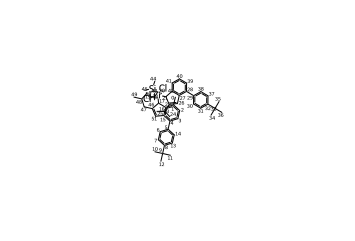 Cc1ccc(-c2ccc(C(C)(C)C)cc2)c2c1[CH]([Zr]([Cl])([Cl])([CH]1C(C(C)C)=Cc3c(-c4ccc(C(C)(C)C)cc4)cccc31)[SiH](C)C)C(CC(C)C)=C2